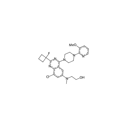 COc1cccnc1N1CCN(c2nc(C3(F)CCC3)nc3c(Cl)cc(N(C)CCO)cc23)CC1